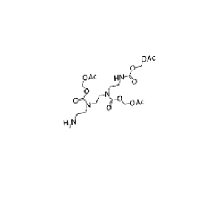 CC(=O)OCOC(=O)NCCN(CCN(CCN)C(=O)OCOC(C)=O)C(=O)OCOC(C)=O